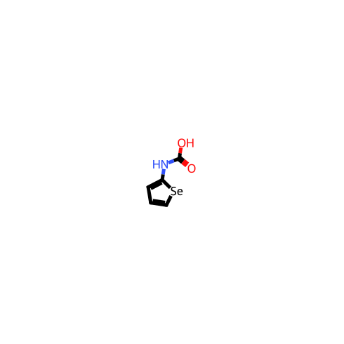 O=C(O)Nc1ccc[se]1